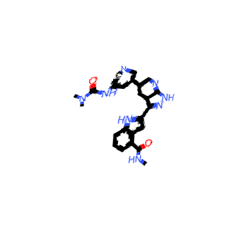 CNC(=O)c1cccc2[nH]c(C3=NNC4=NC=C(c5cncc(NC(=O)N(C)C)c5)CC43)cc12